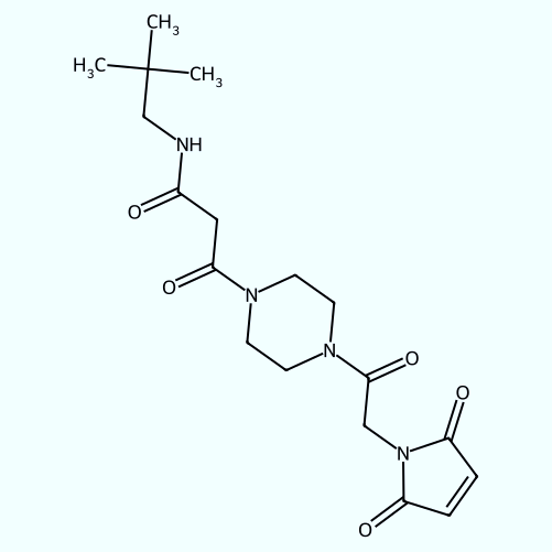 CC(C)(C)CNC(=O)CC(=O)N1CCN(C(=O)CN2C(=O)C=CC2=O)CC1